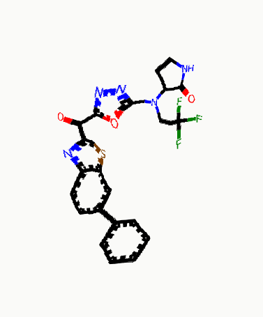 O=C(c1nnc(N(CC(F)(F)F)C2CCNC2=O)o1)c1nc2ccc(-c3ccccc3)cc2s1